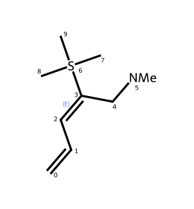 C=C/C=C(\CNC)S(C)(C)C